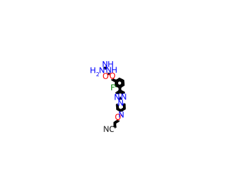 N#CCCCON=C1CCN(c2ncc(-c3cccc(COC(=O)NC(=N)N)c3F)cn2)CC1